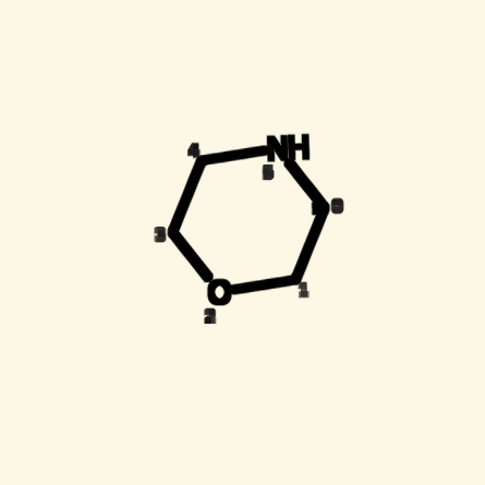 [C]1COCCN1